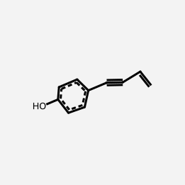 C=CC#Cc1ccc(O)cc1